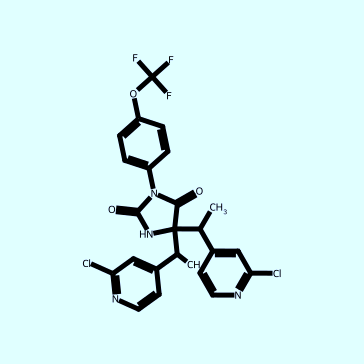 CC(c1ccnc(Cl)c1)C1(C(C)c2ccnc(Cl)c2)NC(=O)N(c2ccc(OC(F)(F)F)cc2)C1=O